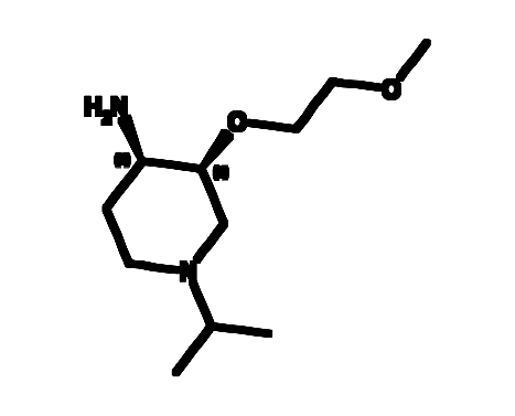 COCCO[C@H]1CN(C(C)C)CC[C@H]1N